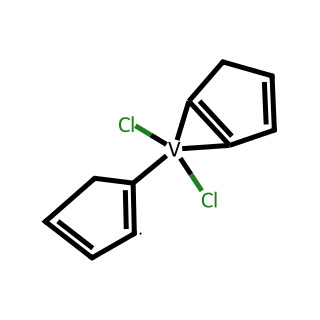 [Cl][V]1([Cl])([C]2=[C]C=CC2)[C]2=[C]1CC=C2